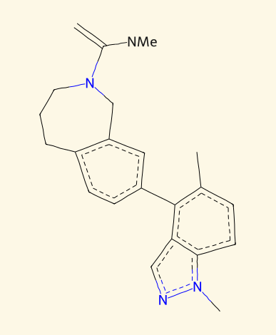 C=C(NC)N1CCCc2ccc(-c3c(C)ccc4c3cnn4C)cc2C1